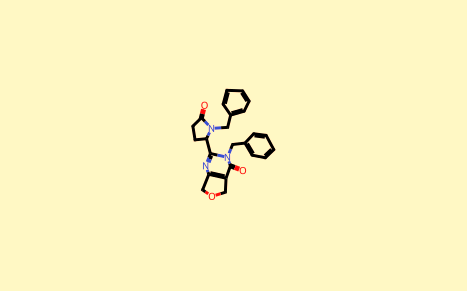 O=C1CCC(c2nc3c(c(=O)n2Cc2ccccc2)COC3)N1Cc1ccccc1